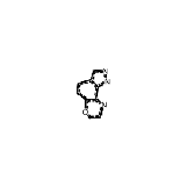 c1coc2ccc3cnnc3c2n1